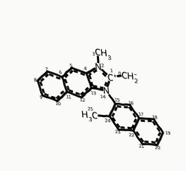 [CH2-][c+]1n(C)c2cc3ccccc3cc2n1-c1cc2ccccc2cc1C